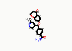 Cc1cc(C(Oc2ccc3c(c2)OCCC3=O)c2ccc(C(N)=O)cc2)ccn1